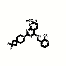 CS(=O)(=O)O.FC1(F)CC2(CCN(c3nc(NCc4cccnc4C(F)(F)F)c4cccnc4n3)CC2)C1